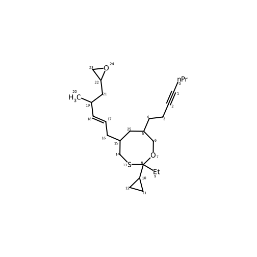 CCCC#CCCC1COC(CC)(C2CC2)SCC(CC=CC(C)CC2CO2)C1